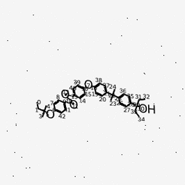 CCC(C)(C)Oc1ccc(S(=O)(=O)c2ccc(Oc3ccc(C(C)(C)c4ccc(C(O)(CC)CC)cc4)cc3)cc2)cc1